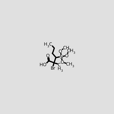 CCCC(C(C)(Br)C(=O)O)[Si](OC)(OC)OC